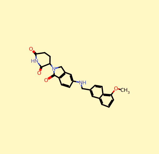 COc1cccc2cc(CNc3ccc4c(c3)CN(C3CCC(=O)NC3=O)C4=O)ccc12